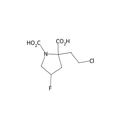 O=C(O)N1CC(F)CC1(CCCl)C(=O)O